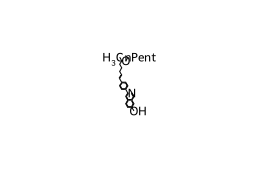 CCCCCOC(C)CCCC=Cc1ccc(-c2cc3ccc(O)cc3cn2)cc1